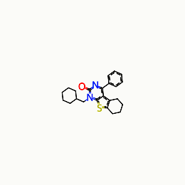 O=c1nc(-c2ccccc2)c2c3c(sc2n1CC1CCCCC1)CCCC3